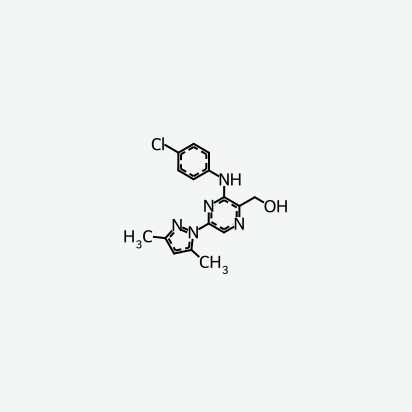 Cc1cc(C)n(-c2cnc(CO)c(Nc3ccc(Cl)cc3)n2)n1